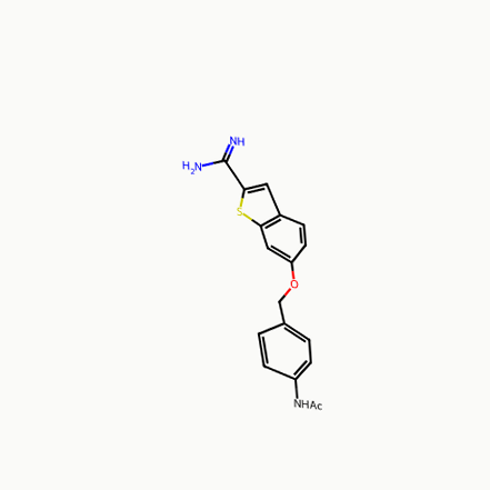 CC(=O)Nc1ccc(COc2ccc3cc(C(=N)N)sc3c2)cc1